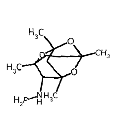 CC12CC3(C)OC(C)(CC(C)(O1)C3NP)O2